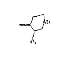 C=C1CCNCC1C(C)C